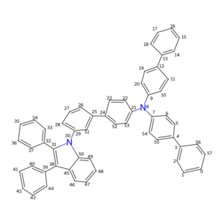 c1ccc(-c2ccc(N(c3ccc(-c4ccccc4)cc3)c3ccc(-c4cccc(-n5c(-c6ccccc6)c(-c6ccccc6)c6ccccc65)c4)cc3)cc2)cc1